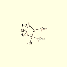 CCCCCCCCCCC(C(C)(O)CCCCCCCCCC)S(=O)(=O)O.N